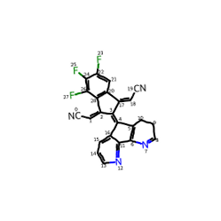 N#C/C=C1C(=C2/C3=C(N=CCC3)c3ncccc32)/C(=C/C#N)c2cc(F)c(F)c(F)c2/1